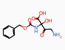 NCC(=O)C(O)(NC(=O)OCc1ccccc1)C(=O)O